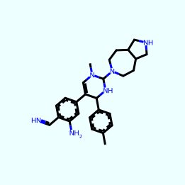 Cc1ccc(C2NC(N3CCC4CNCC4CC3)N(C)C=C2c2ccc(C=N)c(N)c2)cc1